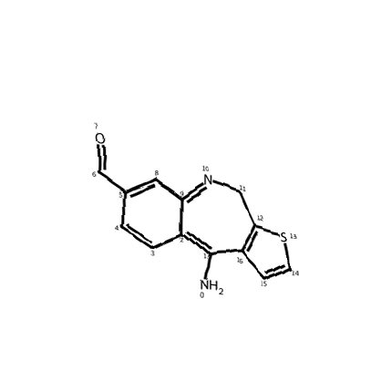 NC1=c2ccc(C=O)cc2=NCc2sccc21